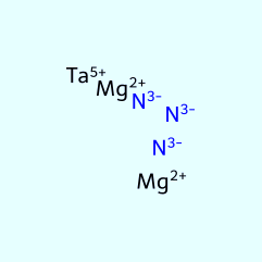 [Mg+2].[Mg+2].[N-3].[N-3].[N-3].[Ta+5]